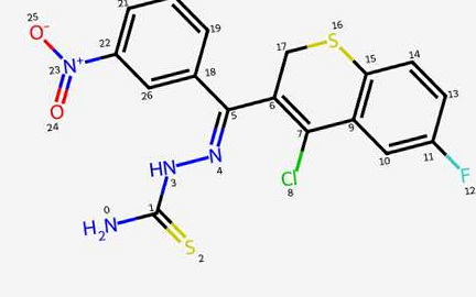 NC(=S)NN=C(C1=C(Cl)c2cc(F)ccc2SC1)c1cccc([N+](=O)[O-])c1